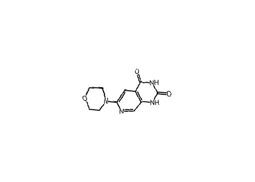 O=c1[nH]c(=O)c2cc(N3CCOCC3)ncc2[nH]1